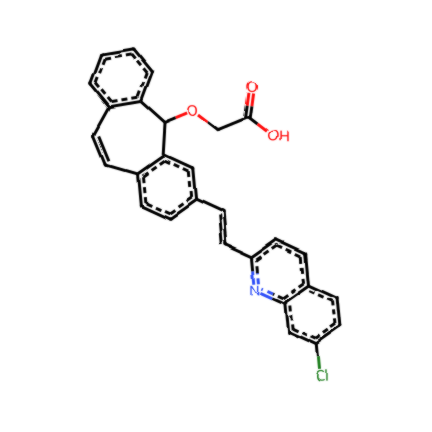 O=C(O)COC1c2ccccc2C=Cc2ccc(C=Cc3ccc4ccc(Cl)cc4n3)cc21